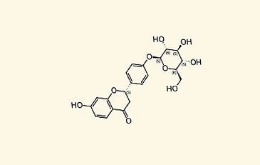 O=C1C[C@@H](c2ccc(O[C@@H]3O[C@H](CO)[C@@H](O)[C@H](O)[C@H]3O)cc2)Oc2cc(O)ccc21